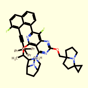 CC1Oc2nc(-c3cccc4ccc(F)c(C#C[Si](C(C)C)(C(C)C)C(C)C)c34)c(F)c3nc(OCC45CCCN4C4(CC4)CC5)nc(c23)N2CC3CCC(C12)N3C(=O)O